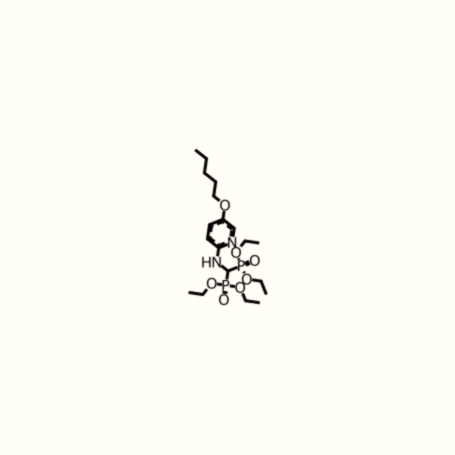 CCCCCOc1ccc(NC(P(=O)(OCC)OCC)P(=O)(OCC)OCC)nc1